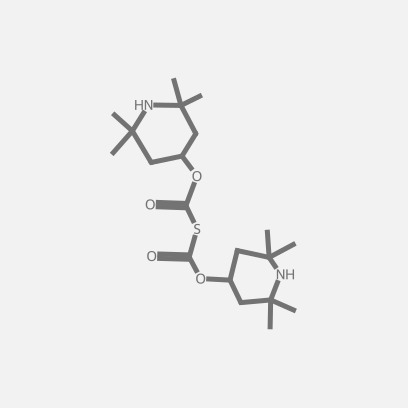 CC1(C)CC(OC(=O)SC(=O)OC2CC(C)(C)NC(C)(C)C2)CC(C)(C)N1